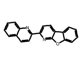 c1ccc2nc(-c3ccc4c(n3)oc3ccccc34)ccc2c1